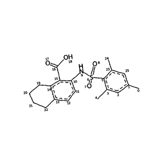 Cc1cc(C)c(S(=O)(=O)Nc2ccc3c(c2C(=O)O)CCCC3)c(C)c1